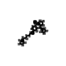 O=C(c1ccc(OCCCCCN2CCCC2)cc1)N1CCC[C@H]1CN1CCCC1